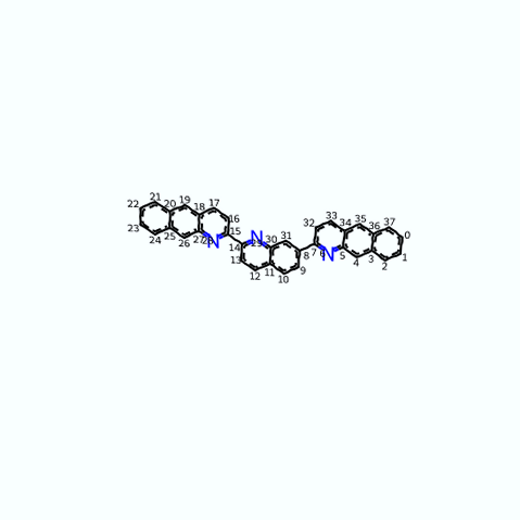 c1ccc2cc3nc(-c4ccc5ccc(-c6ccc7cc8ccccc8cc7n6)nc5c4)ccc3cc2c1